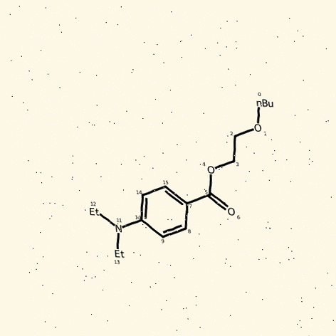 CCCCOCCOC(=O)c1ccc(N(CC)CC)cc1